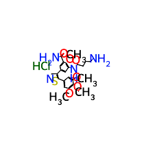 COc1cc(-c2sncc2-c2cc(NC(=O)CCCN)c(OC)c(C(N)=O)c2)cc(OC)c1OC.Cl